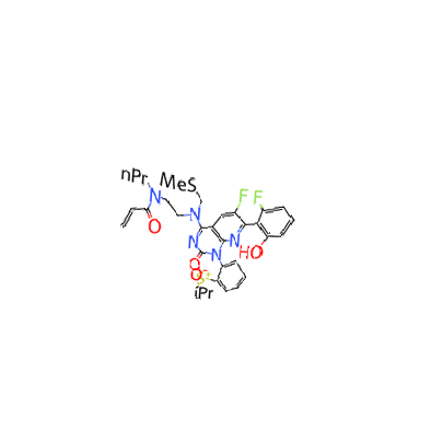 C=CC(=O)N(CCC)CCN(CSC)c1nc(=O)n(-c2ccccc2[S+]([O-])C(C)C)c2nc(-c3c(O)cccc3F)c(F)cc12